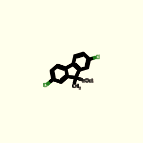 CCCCCCCCC1(C)c2cc(Cl)ccc2-c2ccc(Cl)cc21